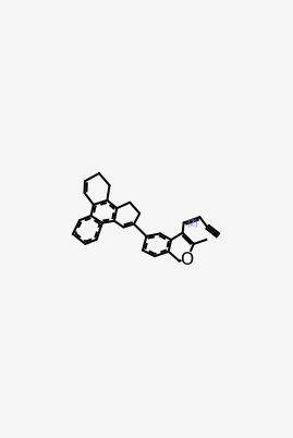 C#C/C=C\C1=C(C)OCc2ccc(C3=Cc4c(c5c(c6ccccc46)C=CCC5)CC3)cc21